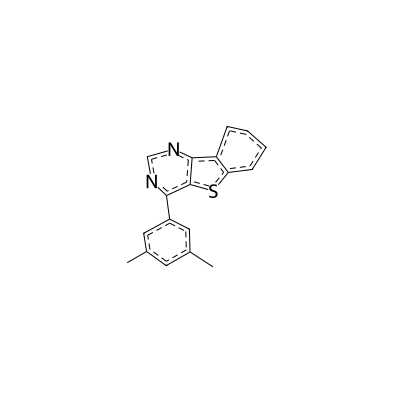 Cc1cc(C)cc(-c2ncnc3c2sc2ccccc23)c1